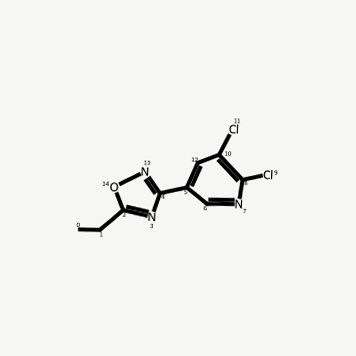 CCc1nc(-c2cnc(Cl)c(Cl)c2)no1